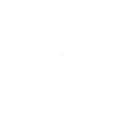 CCC(NC(N)=O)N(C)C.Cl